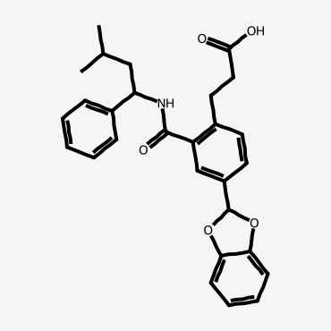 CC(C)CC(NC(=O)c1cc(C2Oc3ccccc3O2)ccc1CCC(=O)O)c1ccccc1